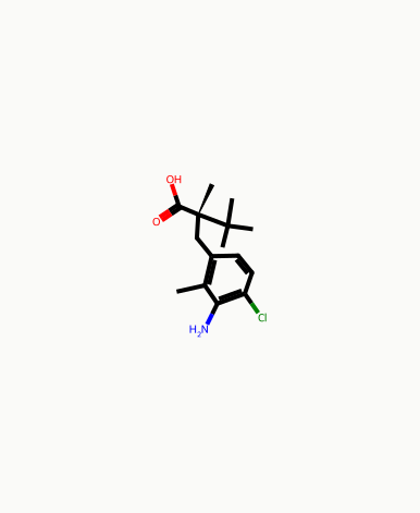 Cc1c(C[C@](C)(C(=O)O)C(C)(C)C)ccc(Cl)c1N